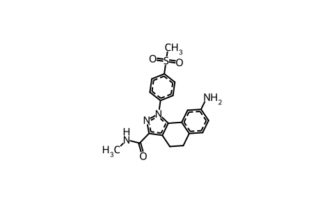 CNC(=O)c1nn(-c2ccc(S(C)(=O)=O)cc2)c2c1CCc1ccc(N)cc1-2